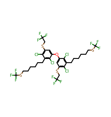 FC(F)(F)CSc1cc(Oc2cc(SCC(F)(F)F)c(Cl)c(CCCCCCSC(F)(F)F)c2Cl)c(Cl)c(CCCCCCSC(F)(F)F)c1Cl